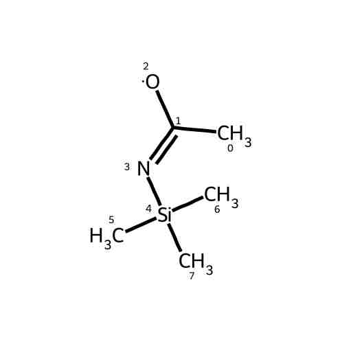 C/C([O])=N\[Si](C)(C)C